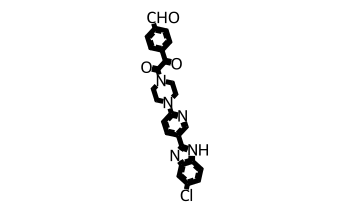 O=Cc1ccc(C(=O)C(=O)N2CCN(c3ccc(-c4nc5cc(Cl)ccc5[nH]4)cn3)CC2)cc1